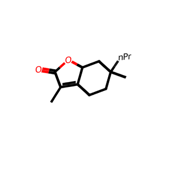 CCCC1(C)CCC2=C(C)C(=O)OC2C1